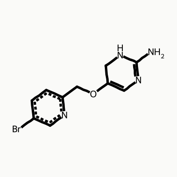 NC1=NC=C(OCc2ccc(Br)cn2)CN1